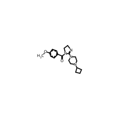 COc1ccc(C(=O)N2CCN=C2N2CCN(C3CCC3)CC2)cc1